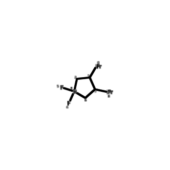 CC(C)C1C[Si](F)(F)CC1C(C)C